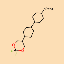 CCCCCC1CCC(C2CCC(C3COC(F)(F)OC3)CC2)CC1